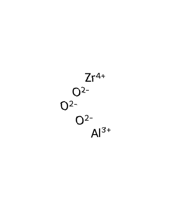 [Al+3].[O-2].[O-2].[O-2].[Zr+4]